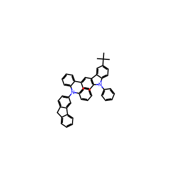 CC(C)(C)c1ccc2c(c1)c1cc(-c3ccccc3N(c3ccccc3)c3ccc4c(c3)-c3ccccc3C4)ccc1n2-c1ccccc1